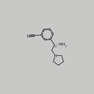 N#Cc1cccc([C@H](N)CN2CCCC2)c1